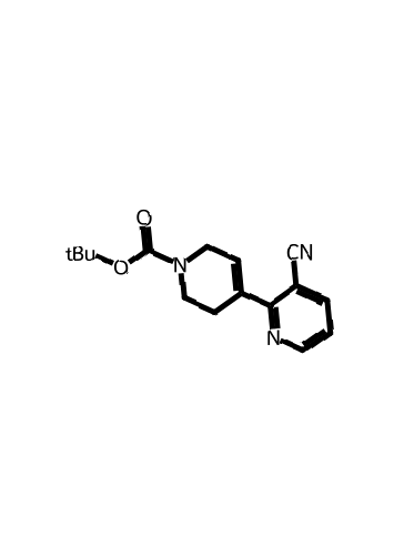 CC(C)(C)OC(=O)N1CC=C(c2ncccc2C#N)CC1